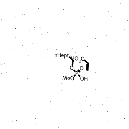 C=CC(=O)O.CCCCCCCCOP(=O)(O)OC